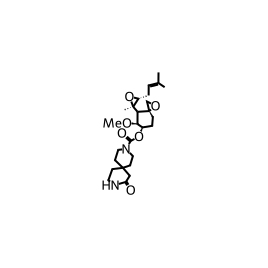 CO[C@H]1C([C@@]2(C)O[C@@H]2CC=C(C)C)[C@]2(CC[C@H]1OC(=O)N1CCC3(CCNC(=O)C3)CC1)CO2